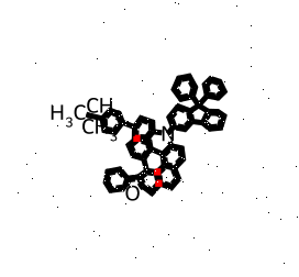 CC(C)(C)c1ccc(-c2ccc(N(c3ccc4c(c3)-c3ccccc3C4(c3ccccc3)c3ccccc3)c3ccc4ccccc4c3-c3ccccc3-c3cccc4oc5ccccc5c34)cc2)cc1